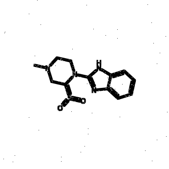 CN1CCN(c2nc3ccccc3[nH]2)C(=S(=O)=O)C1